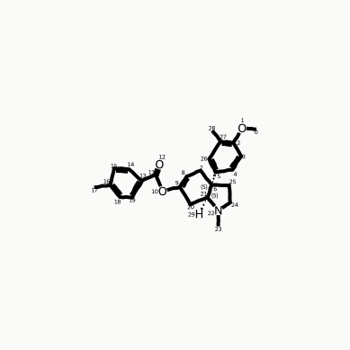 COc1ccc([C@@]23CC=C(OC(=O)c4ccc(C)cc4)C[C@@H]2N(C)CC3)cc1C